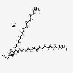 CCCCCCCCC=CCCCCCCCCC(CCCCCCCCC=CCCCCCCCC)c1cc[n+](C)cc1.[Cl-]